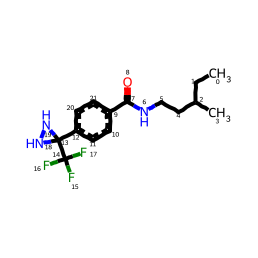 CCC(C)CCNC(=O)c1ccc(C2(C(F)(F)F)NN2)cc1